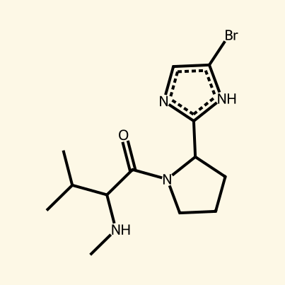 CNC(C(=O)N1CCCC1c1ncc(Br)[nH]1)C(C)C